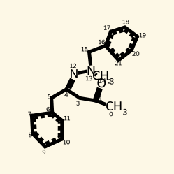 CC(=O)C/C(Cc1ccccc1)=N\N(C)Cc1ccccc1